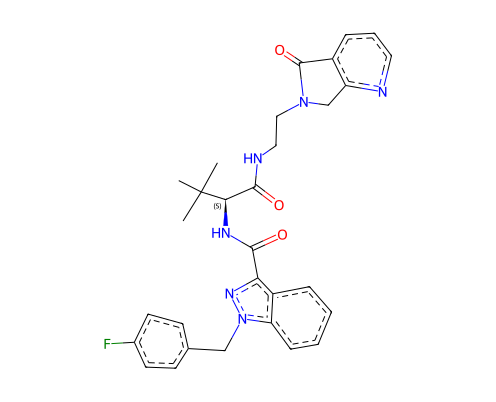 CC(C)(C)[C@H](NC(=O)c1nn(Cc2ccc(F)cc2)c2ccccc12)C(=O)NCCN1Cc2ncccc2C1=O